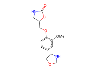 C1COCN1.COc1ccccc1OCC1CNC(=O)O1